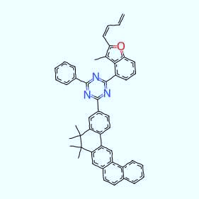 C=C/C=C\c1oc2cccc(-c3nc(-c4ccccc4)nc(-c4ccc5c(c4)C(C)(C)C(C)(C)c4cc6ccc7ccccc7c6cc4-5)n3)c2c1C